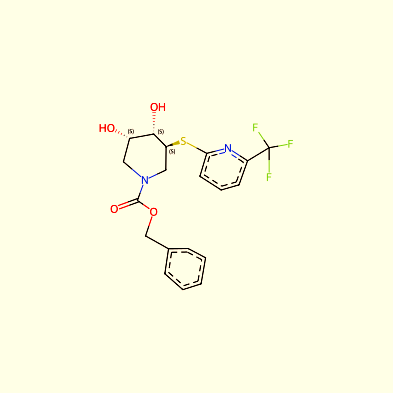 O=C(OCc1ccccc1)N1C[C@H](Sc2cccc(C(F)(F)F)n2)[C@@H](O)[C@@H](O)C1